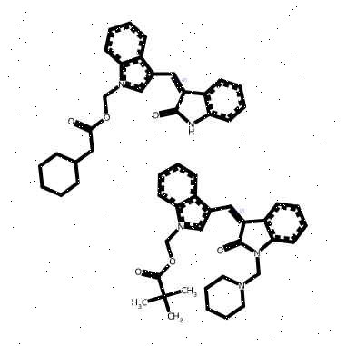 CC(C)(C)C(=O)OCn1cc(/C=C2\C(=O)N(CN3CCCCC3)c3ccccc32)c2ccccc21.O=C(CC1CCCCC1)OCn1cc(/C=C2\C(=O)Nc3ccccc32)c2ccccc21